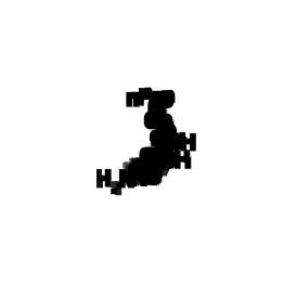 CCCC(=O)OCC(=O)OCOP(=O)(O)OC[C@H]1O[C@@H](n2ccc(N)nc2=O)C(F)(F)[C@@H]1O